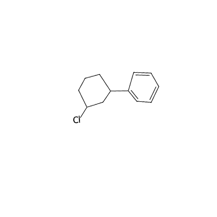 ClC1CCCC(c2ccccc2)C1